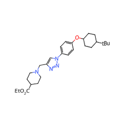 CCOC(=O)C1CCN(Cc2cn(-c3ccc(OC4CCC(C(C)(C)C)CC4)cc3)nn2)CC1